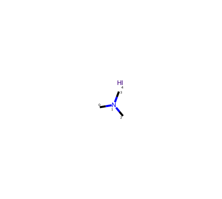 CN(C)C.I